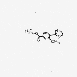 CCOC(=O)c1ccc(C2=NCCS2)c(C)c1